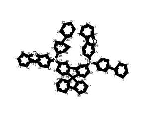 c1ccc(-c2ccc(N(c3ccc4c(c3)-c3cc(N(c5ccc(-c6ccccc6)cc5)c5ccc6c(c5)oc5ccccc56)ccc3C43c4ccccc4-c4ccccc43)c3ccc4c(c3)oc3ccccc34)cc2)cc1